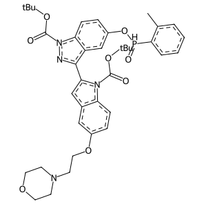 Cc1ccccc1[PH](=O)Oc1ccc2c(c1)c(-c1cc3cc(OCCN4CCOCC4)ccc3n1C(=O)OC(C)(C)C)nn2C(=O)OC(C)(C)C